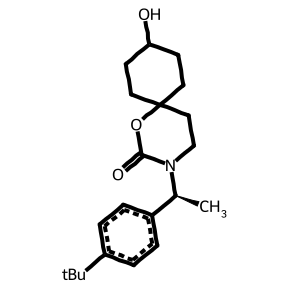 C[C@@H](c1ccc(C(C)(C)C)cc1)N1CCC2(CCC(O)CC2)OC1=O